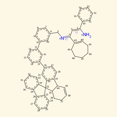 N/C(=C\C(=N/Cc1cccc(-c2cccc(-c3ccc4c(c3)C3(c5ccccc5-c5ccccc53)C3CCC=CC43)c2)c1)C1=CCCCCC1)c1ccccc1